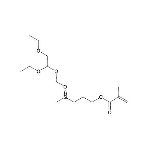 C=C(C)C(=O)OCCC[SiH](C)OCOC(COCC)OCC